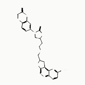 COc1ccc2ncc3c(c2n1)CC(CNCCC1CN(c2ccc4c(c2)NC(=O)CO4)C(=O)O1)O3